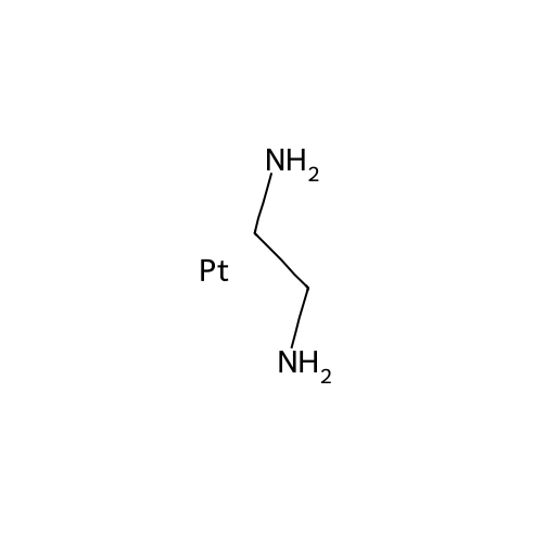 NCCN.[Pt]